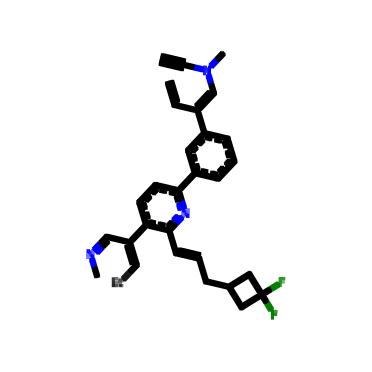 C#CN(C)/C=C(\C=C)c1cccc(-c2ccc(C(/C=N\C)=C/CC)c(/C=C/CC3CC(F)(F)C3)n2)c1